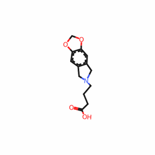 O=C(O)CCCN1Cc2cc3c(cc2C1)OCO3